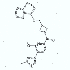 COc1nc(C(=O)N2CC(COc3cccc4ccccc34)C2)ccc1-n1cnc(C)c1